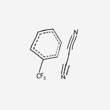 FC(F)(F)c1ccccc1.N#CC#N